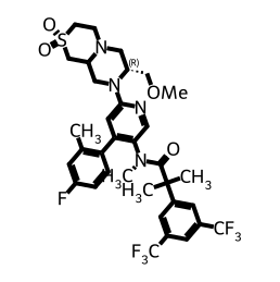 COC[C@H]1CN2CCS(=O)(=O)CC2CN1c1cc(-c2ccc(F)cc2C)c(N(C)C(=O)C(C)(C)c2cc(C(F)(F)F)cc(C(F)(F)F)c2)cn1